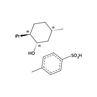 CC(C)[C@H]1CC[C@H](C)C[C@@H]1O.Cc1ccc(S(=O)(=O)O)cc1